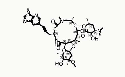 CO[C@]1(C)C[C@H](O[C@H]2[C@H](C)[C@@H](O[C@@H]3O[C@H](C)C[C@H](N(C)C)[C@H]3O)[C@](C)(O)C[C@@H](C)CN(C)C(=O)C[C@@H](CC#Cc3cnc4c(c3)ncn4C)NC(=O)[C@@H]2C)O[C@@H](C)[C@@H]1O